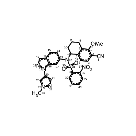 COc1c(C#N)ccc2c1CCCC2N(c1ccc2cnn(-c3cnn(C)c3)c2c1)S(=O)(=O)c1ccccc1[N+](=O)[O-]